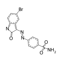 NS(=O)(=O)c1ccc(N=NC2=c3cc(Br)ccc3=NC2=O)cc1